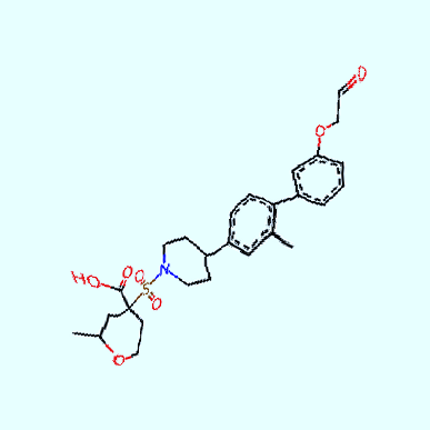 Cc1cc(C2CCN(S(=O)(=O)C3(C(=O)O)CCOC(C)C3)CC2)ccc1-c1cccc(OCC=O)c1